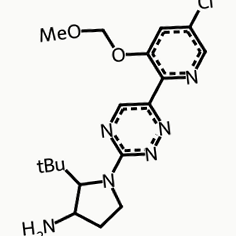 COCOc1cc(Cl)cnc1-c1cnc(N2CCC(N)C2C(C)(C)C)nn1